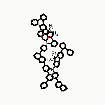 CC1(C)c2cc(-c3ccccc3-c3ccccc3)ccc2-c2ccc(N(c3ccc(-c4cccc5cc(-c6ccc(-c7cccc(-c8ccccc8)c7)c(N(c7ccc(-c8ccc9ccccc9c8)cc7)c7ccc8c(c7)C(C)(C)c7cc(-c9ccccc9-c9ccccc9)ccc7-8)c6)ccc45)cc3)c3ccccc3-c3cccc(-c4ccccc4)c3)cc21